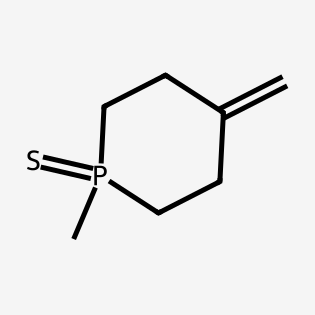 C=C1CCP(C)(=S)CC1